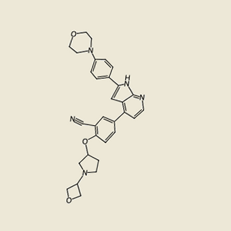 N#Cc1cc(-c2ccnc3[nH]c(-c4ccc(N5CCOCC5)cc4)cc23)ccc1OC1CCN(C2COC2)C1